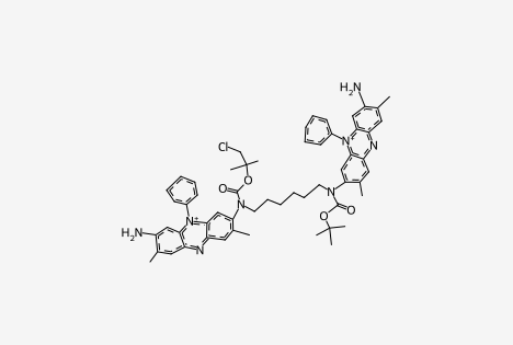 Cc1cc2nc3cc(C)c(N(CCCCCCN(C(=O)OC(C)(C)CCl)c4cc5c(cc4C)nc4cc(C)c(N)cc4[n+]5-c4ccccc4)C(=O)OC(C)(C)C)cc3[n+](-c3ccccc3)c2cc1N